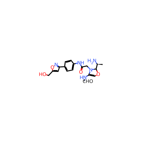 C[C@H](N)C1OC=C(NC=O)N1CC(=O)Nc1ccc(-c2cc(CO)on2)cc1